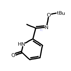 C/C(=N\OC(C)(C)C)c1cccc(=O)[nH]1